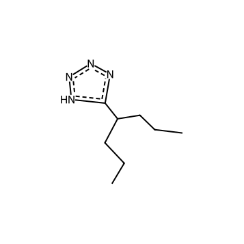 CCCC(CCC)c1nnn[nH]1